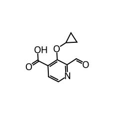 O=Cc1nccc(C(=O)O)c1OC1CC1